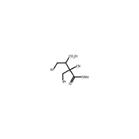 CCOC(=O)C(CC(C)C)C(C#N)(CC(C)C)C(=O)OC